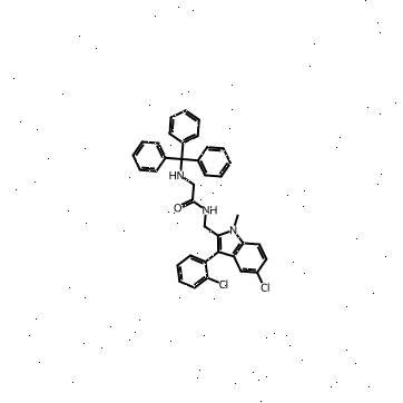 Cn1c(CNC(=O)CNC(c2ccccc2)(c2ccccc2)c2ccccc2)c(-c2ccccc2Cl)c2cc(Cl)ccc21